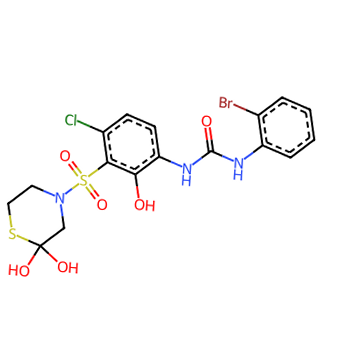 O=C(Nc1ccccc1Br)Nc1ccc(Cl)c(S(=O)(=O)N2CCSC(O)(O)C2)c1O